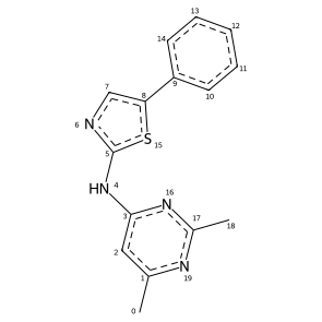 Cc1cc(Nc2ncc(-c3ccccc3)s2)nc(C)n1